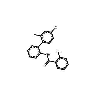 Cc1cc(Cl)ccc1-c1ccccc1NC(=O)c1ccccc1C(F)(F)F